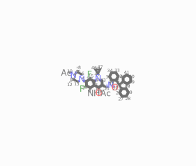 CC(=O)Nc1c(F)c(N2C[C@@H](C)N(C(C)=O)[C@@H](C)C2)c(F)c2c1c(=O)c(/C=N/OC(c1ccccc1)(c1ccccc1)c1ccccc1)cn2C1CC1